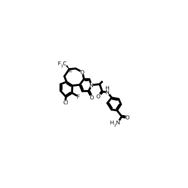 CC(C(=O)Nc1ccc(C(N)=O)cc1)n1cc2c(cc1=O)-c1c(ccc(Cl)c1F)C[C@@H](C(F)(F)F)CO2